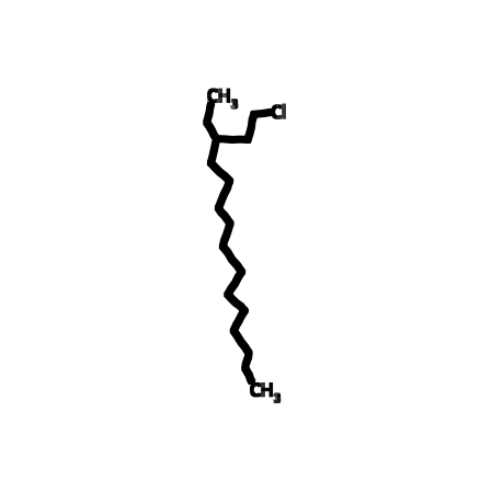 CCCCCCCCCCCCC(CC)CCCl